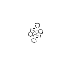 OC(Cc1ccccc1)(c1ccccc1)C(O)(Cc1ccccc1)c1ccccc1